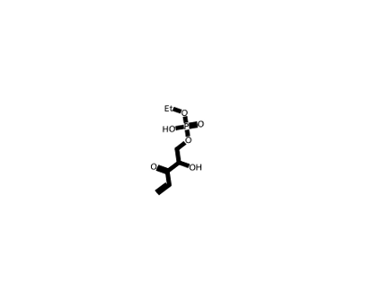 C=CC(=O)C(O)COP(=O)(O)OCC